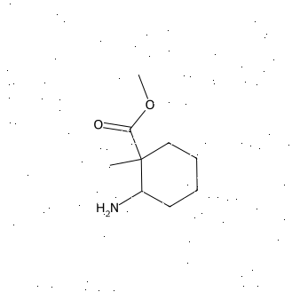 COC(=O)C1(C)CCCCC1N